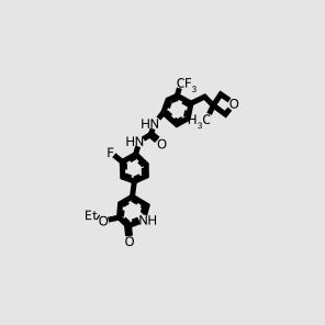 CCOc1cc(-c2ccc(NC(=O)Nc3ccc(CC4(C)COC4)c(C(F)(F)F)c3)c(F)c2)c[nH]c1=O